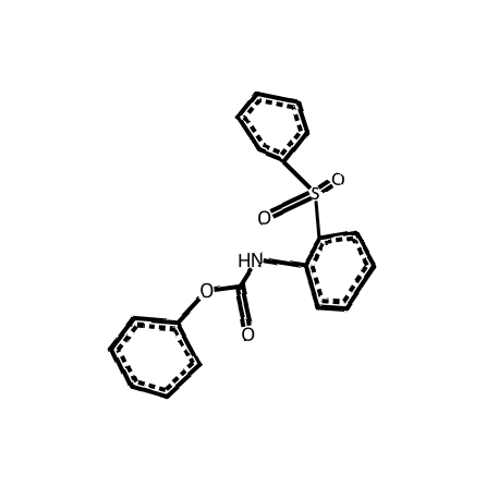 O=C(Nc1ccccc1S(=O)(=O)c1ccccc1)Oc1ccccc1